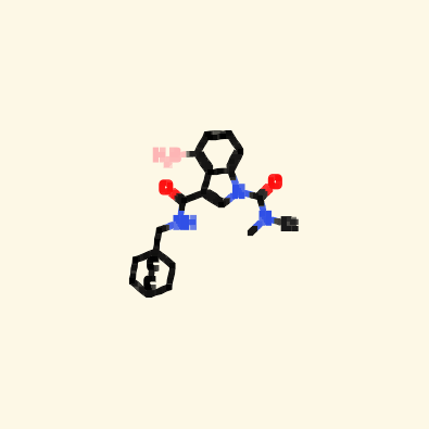 Bc1cccc2c1c(C(=O)NCC13CCC(CC1)CC3)cn2C(=O)N(C)CC